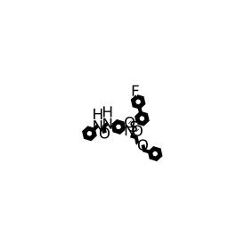 O=C(Nc1ccccc1)Nc1ccc(N(CCCOCc2ccccc2)S(=O)(=O)c2cccc(-c3ccc(F)cc3)c2)cc1